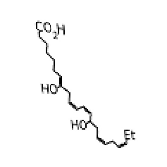 CC/C=C\C/C=C\CC(O)/C=C\C=C/CC(O)=CCCCCCC(=O)O